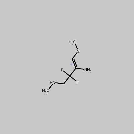 CNCC(F)(F)/C(N)=C/SC